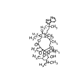 C=C[C@]12OC(=O)N(CCCC(C)(C)n3cnc4ncccc43)[C@@H]1[C@@H](C)C(=O)[C@H](C)C[C@](C)(OC)[C@H](OC1O[C@H](C)C[C@H](N(C)C)[C@H]1O)[C@@H](C)C(=O)[C@@H](C)C(=O)O[C@@H]2CC